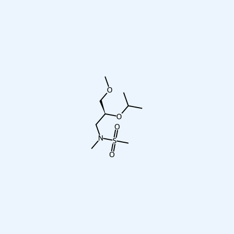 COC[C@H](CN(C)S(C)(=O)=O)OC(C)C